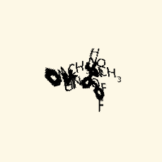 Cc1nn(-c2ccccc2)c(Cl)c1CNc1ccc(Oc2ccc(F)cc2F)c(-c2cn(C)c3c(=O)[nH]ccc23)c1